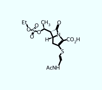 CCOS(=O)(=O)O[C@@H](C)[C@@H]1C(=O)N2C(C(=O)O)=C(S/C=C/NC(C)=O)C[C@H]12